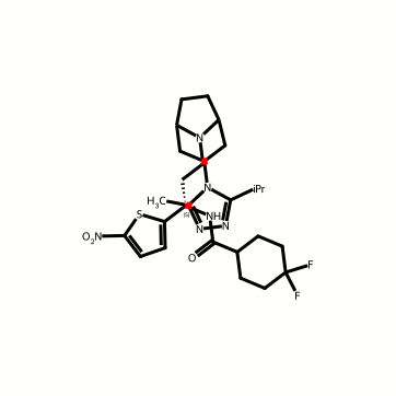 Cc1nnc(C(C)C)n1C1CC2CCC(C1)N2CC[C@H](NC(=O)C1CCC(F)(F)CC1)c1ccc([N+](=O)[O-])s1